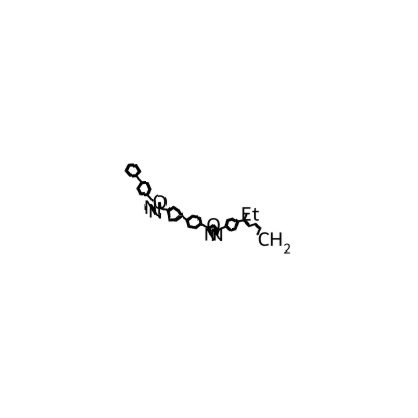 C=C/C=C\C=C(/CC)c1ccc(-c2nnc(-c3ccc(-c4ccc(-c5nnc(-c6ccc(-c7ccccc7)cc6)o5)cc4)cc3)o2)cc1